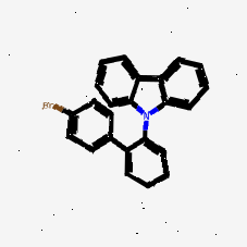 Brc1ccc(C2=CCCC=C2n2c3ccccc3c3ccccc32)cc1